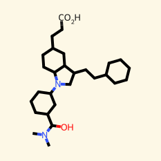 CN(C)C(O)C1CCCC(N2CC(CCC3CCCCC3)C3CC(CCC(=O)O)CCC32)C1